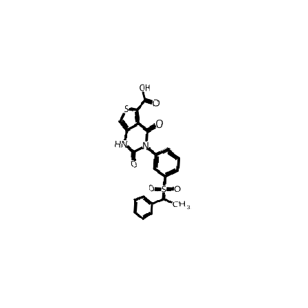 CC(c1ccccc1)S(=O)(=O)c1cccc(-n2c(=O)[nH]c3csc(C(=O)O)c3c2=O)c1